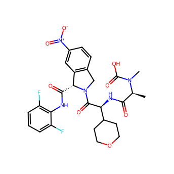 C[C@@H](C(=O)N[C@H](C(=O)N1Cc2ccc([N+](=O)[O-])cc2[C@H]1C(=O)Nc1c(F)cccc1F)C1CCOCC1)N(C)C(=O)O